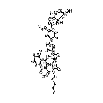 CCCCCC(C(=O)NCNC(=O)c1ccc(-c2ccc(C(=O)NC(CC(=O)O)C(=O)O)c(OCC)c2)o1)C(CC)N(C=O)OC(=O)c1ccccc1C